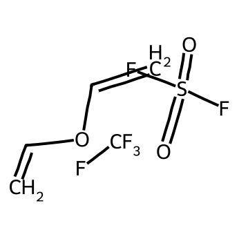 C=COC=C.FC(F)(F)F.O=S(=O)(F)F